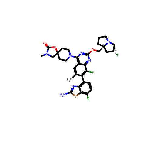 CN1CC2(CCN(c3nc(OC[C@@]45CCCN4C[C@H](F)C5)nc4c(F)c(-c5ccc(F)c6sc(N)nc56)c(C(F)(F)F)cc34)CC2)OC1=O